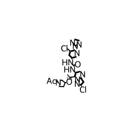 CC(=O)N1CCC(O[C@@H](C)c2c(NC(=O)Nc3cnc(-n4nccn4)c(Cl)c3)cnc3cc(Cl)nn23)C1